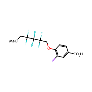 COCC(F)(F)C(F)(F)C(F)(F)COc1ccc(C(=O)O)cc1I